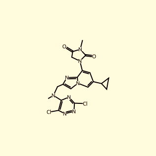 CN1C(=O)CN(c2cc(C3CC3)cn3cc(CN(C)c4nc(Cl)nnc4Cl)nc23)C1=O